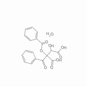 O.O=C(OC(C(=O)O)(C(=O)c1ccccc1)C(O)C(=O)O)c1ccccc1